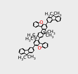 CC1(C)c2ccccc2-c2cc(-c3cc4c(c5c3oc3ccccc35)-c3cc5c(cc3[Si]4(C)C)-c3c(cc(-c4ccc6c(c4)-c4ccccc4C6(C)C)c4oc6ccccc6c34)[Si]5(C)C)ccc21